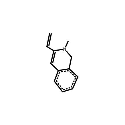 C=CC1=Cc2ccccc2CN1C